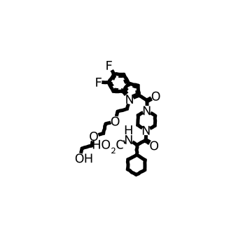 O=C(O)NC(C(=O)N1CCN(C(=O)c2cc3cc(F)c(F)cc3n2CCOCCOCCO)CC1)C1CCCCC1